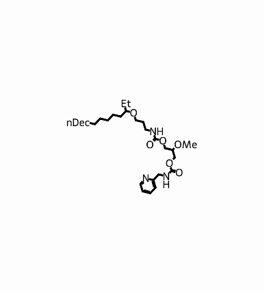 CCCCCCCCCCCCCCCC(CC)OCCCNC(=O)OCC(COC(=O)NCc1ccccn1)OC